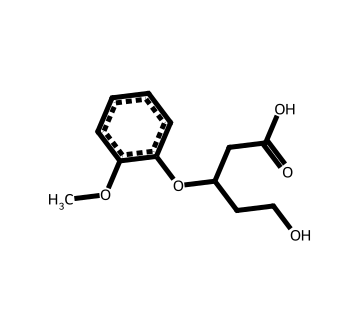 COc1ccccc1OC(CCO)CC(=O)O